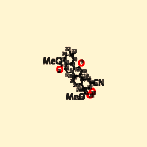 COC(=O)[C@@]12CCC3C(C(=O)C=C4[C@@]5(C)C=C(C#N)C(=O)[C@](C)(C(=O)OC)C5CC[C@]43C)C1CC(C)(C)CC2